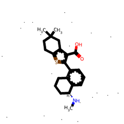 CN[C@@H]1CCCc2c(-c3sc4c(c3C(=O)O)CC(C)(C)CC4)cccc21